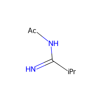 CC(=O)NC(=N)C(C)C